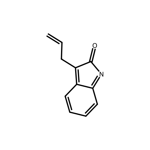 C=CCC1=c2ccccc2=NC1=O